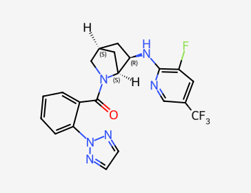 O=C(c1ccccc1-n1nccn1)N1C[C@H]2C[C@@H](Nc3ncc(C(F)(F)F)cc3F)[C@@H]1C2